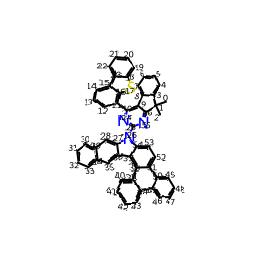 CC1(C)c2ccccc2-c2c(-c3cccc4c3sc3ccccc34)nc(-n3c4cc5ccccc5cc4c4c5c6ccccc6c6ccccc6c5ccc43)nc21